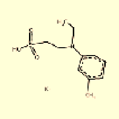 CCN(CCS(=O)(=O)O)c1cccc(C)c1.[K]